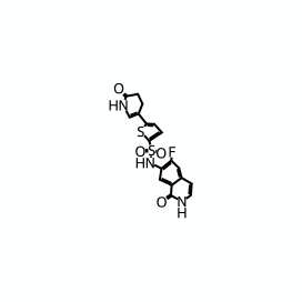 O=C1CCC(c2ccc(S(=O)(=O)Nc3cc4c(=O)[nH]ccc4cc3F)s2)=CN1